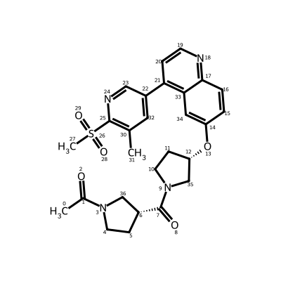 CC(=O)N1CC[C@@H](C(=O)N2CC[C@H](Oc3ccc4nccc(-c5cnc(S(C)(=O)=O)c(C)c5)c4c3)C2)C1